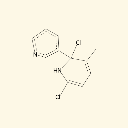 CC1=CC=C(Cl)NC1(Cl)c1cccnc1